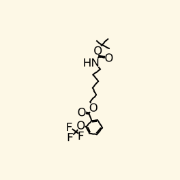 CC(C)(C)OC(=O)NCCCCCCOC(=O)c1ccccc1OC(F)(F)F